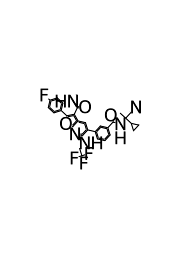 CNC(=O)c1c(-c2ccc(F)cc2)oc2nc(NCC(F)(F)F)c(-c3cccc(C(=O)NC(C)(C#N)C4CC4)c3)cc12